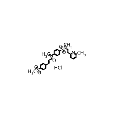 Cc1cccc(CCN(C)S(=O)(=O)c2ccc(N(C)C(=O)C=Cc3ccc(S(C)(=O)=O)cc3)cc2)n1.Cl